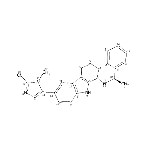 C[C@@H](NC1CCCc2c1[nH]c1ccc(-c3cnc(Cl)n3C)cc21)c1ccccc1